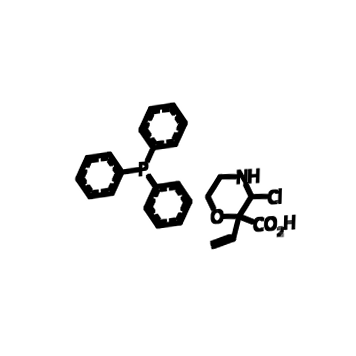 C=CC1(C(=O)O)OCCNC1Cl.c1ccc(P(c2ccccc2)c2ccccc2)cc1